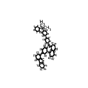 CC1(C)c2ccccc2-c2cc(-c3ccc(N(c4ccc(-c5cccc6c5sc5ccccc56)cc4)c4cccc5ccccc45)cc3)ccc21